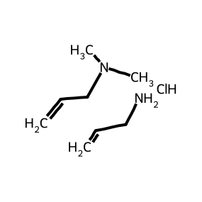 C=CCN.C=CCN(C)C.Cl